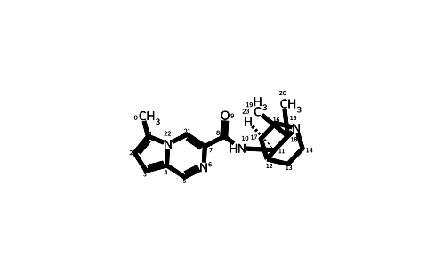 Cc1ccc2cnc(C(=O)N[C@@H]3C4CCN(CC4)C3(C)C)cn12